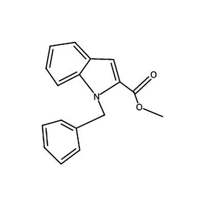 COC(=O)c1cc2ccccc2n1Cc1ccccc1